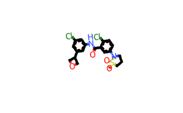 O=C(Nc1cc(Cl)cc(C2COC2)c1)c1cc(N2CCCS2(=O)=O)ccc1Cl